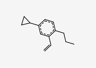 C=Cc1cc(C2CC2)ccc1CCC